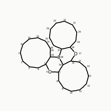 C1CCCCC2OC3CCCCCCCCC4OC5CCCCCCCCC5B(C2CCCC1)C34